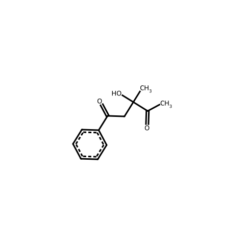 CC(=O)C(C)(O)CC(=O)c1ccccc1